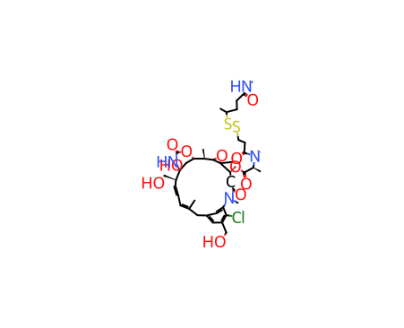 CNC(=O)CCC(C)SSCCC(=O)N(C)[C@@H](C)C(=O)O[C@H]1CC(=O)N(C)c2cc(cc(CO)c2Cl)C/C(C)=C/C=C/[C@@H](CO)[C@@]2(O)CC(OC(=O)N2)[C@@H](C)C2OC21C